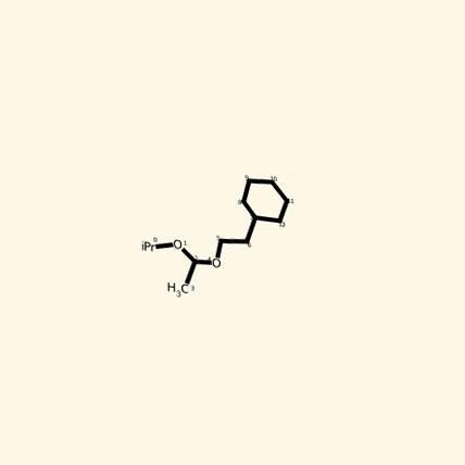 CC(C)OC(C)OCCC1CCCCC1